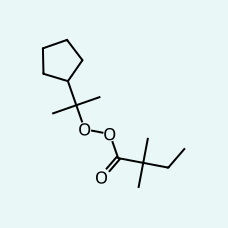 CCC(C)(C)C(=O)OOC(C)(C)C1CCCC1